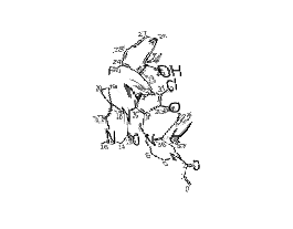 C=CC(=O)N1CCN2Cc3c(N4C(=O)CN(C)CC45CC5)nc(-c4c(O)cccc4F)c(Cl)c3OC[C@H]2C1